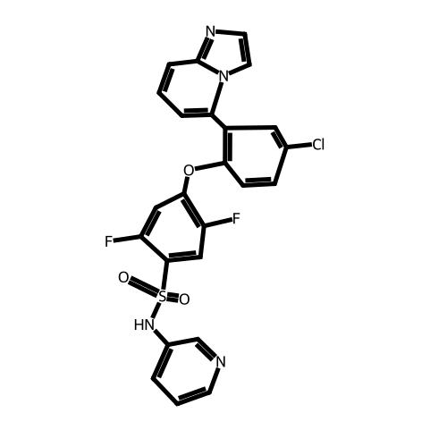 O=S(=O)(Nc1cccnc1)c1cc(F)c(Oc2ccc(Cl)cc2-c2cccc3nccn23)cc1F